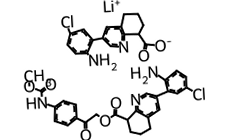 COC(=O)Nc1ccc(C(=O)COC(=O)C2CCCc3cc(-c4cc(Cl)ccc4N)cnc32)cc1.Nc1ccc(Cl)cc1-c1cnc2c(c1)CCCC2C(=O)[O-].[Li+]